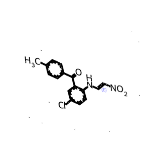 Cc1ccc(C(=O)c2cc(Cl)ccc2N/C=C/[N+](=O)[O-])cc1